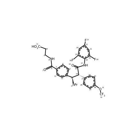 CCC[C@@H](c1ccc(C(=O)NCCC(=O)O)cc1)[C@H](C(=O)Nc1c(F)cc(F)cc1F)c1ccc(OC(F)(F)F)cc1